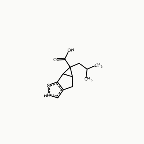 CC(C)CC1(C(=O)O)C2Cc3c[nH]nc3C21